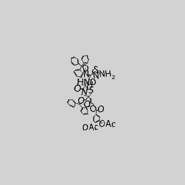 CC(=O)Oc1ccc(C(=O)OCC=CC2(C(=O)OC(c3ccccc3)c3ccccc3)CS[C@@H]3C(NC(=O)C(=NOC(c4ccccc4)(c4ccccc4)c4ccccc4)c4csc(N)n4)C(=O)N3C2)cc1OC(C)=O